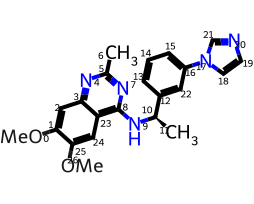 COc1cc2nc(C)nc(N[C@H](C)c3cccc(-n4ccnc4)c3)c2cc1OC